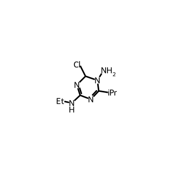 CCNC1=NC(Cl)N(N)C(C(C)C)=N1